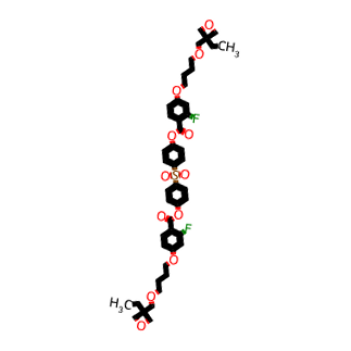 CCC1(COCCCCOc2ccc(C(=O)Oc3ccc(S(=O)(=O)c4ccc(OC(=O)c5ccc(OCCCCOCC6(CC)COC6)cc5F)cc4)cc3)c(F)c2)COC1